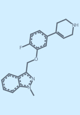 Cn1nc(COc2cc(C3=CCNCC3)ccc2F)c2ccccc21